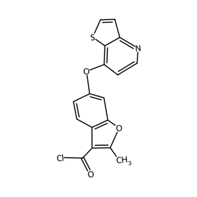 Cc1oc2cc(Oc3ccnc4ccsc34)ccc2c1C(=O)Cl